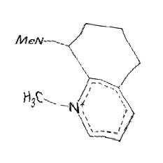 CNC1CCCc2ccc[n+](C)c21